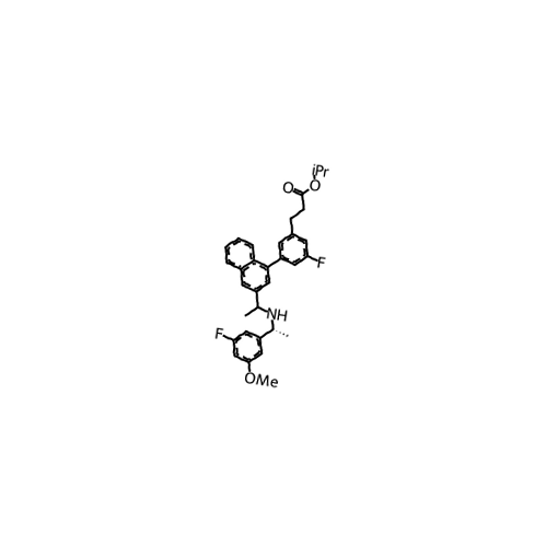 COc1cc(F)cc([C@@H](C)NC(C)c2cc(-c3cc(F)cc(CCC(=O)OC(C)C)c3)c3ccccc3c2)c1